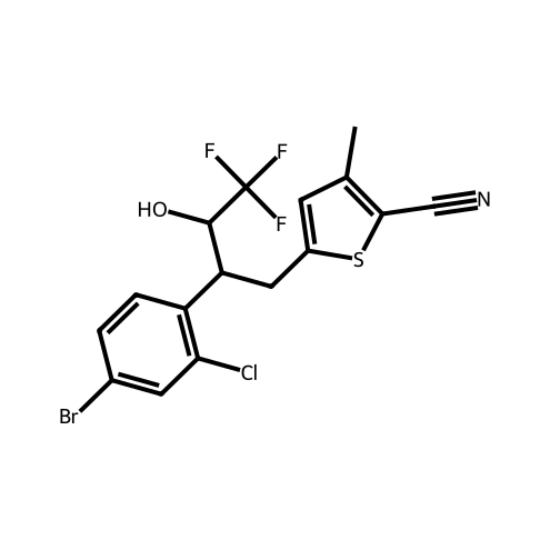 Cc1cc(CC(c2ccc(Br)cc2Cl)C(O)C(F)(F)F)sc1C#N